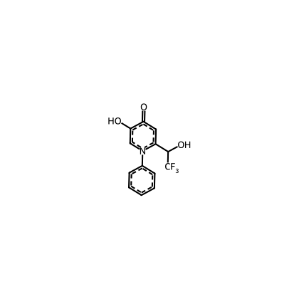 O=c1cc(C(O)C(F)(F)F)n(-c2ccccc2)cc1O